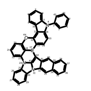 c1ccc(-n2c3ccccc3c3c4c(ccc32)B2c3c(cccc3-n3c5ccccc5n5c6cc7ccccc7cc6c2c35)O4)cc1